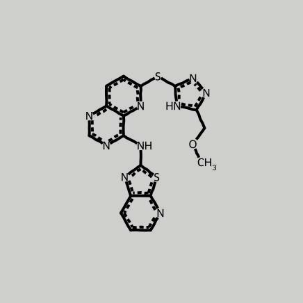 COCc1nnc(Sc2ccc3ncnc(Nc4nc5cccnc5s4)c3n2)[nH]1